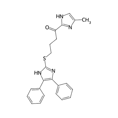 Cc1c[nH]c(C(=O)CCCSc2nc(-c3ccccc3)c(-c3ccccc3)[nH]2)n1